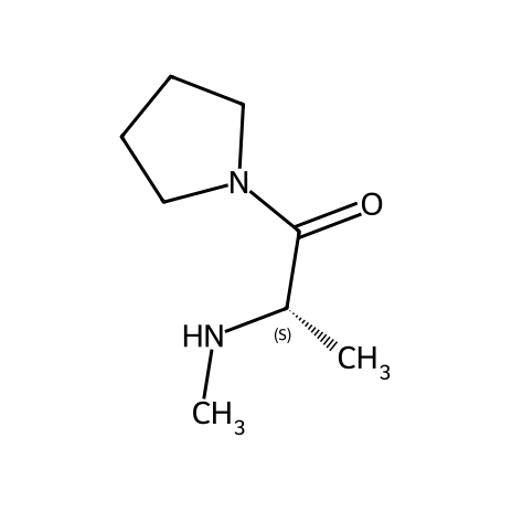 CN[C@@H](C)C(=O)N1CCCC1